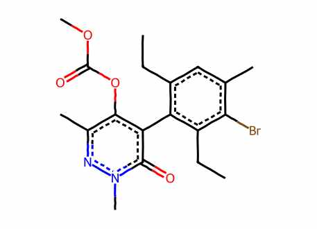 CCc1cc(C)c(Br)c(CC)c1-c1c(OC(=O)OC)c(C)nn(C)c1=O